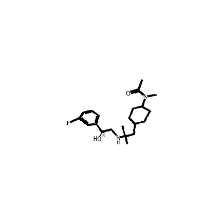 CC(=O)N(C)C1CCC(CC(C)(C)NC[C@H](O)c2cccc(F)c2)CC1